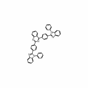 c1ccc(-n2c(-c3ccc(-c4nc(-c5ccc(-c6nc7ccccc7n6-c6ccccc6)cc5)c5ccccc5n4)cc3)nc3ccccc32)cc1